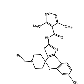 COc1ncnc(OC)c1C(=O)Nc1nc2c(s1)C1(CCN(CC(C)C)CC1)Oc1cc(C(F)(F)F)ccc1-2